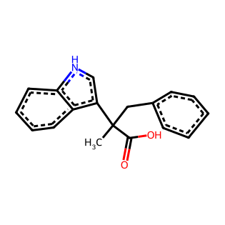 CC(Cc1ccccc1)(C(=O)O)c1c[nH]c2ccccc12